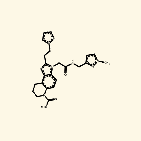 COC(=O)N1CCCc2c1ccc1c2nc(CCn2cccn2)n1CC(=O)NCc1ccn(C)n1